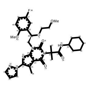 COCCO[C@@H](Cn1c(=O)n(C(C)(C)C(=O)NC2CCCCC2)c(=O)c2c(C)c(-n3cccn3)sc21)c1cc(F)ccc1OC